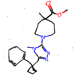 COC(=O)C1(C)CCN(c2nnc(C3(c4ccccc4)CC3)n2C)CC1